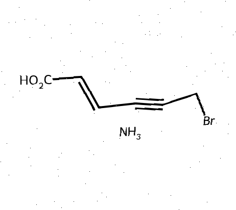 N.O=C(O)C=CC#CCBr